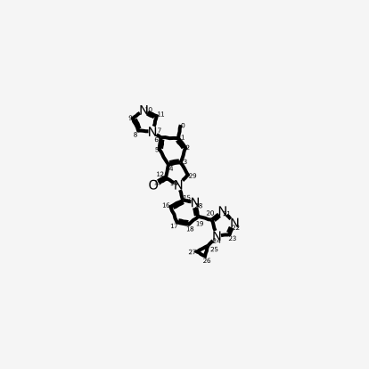 Cc1cc2c(cc1-n1ccnc1)C(=O)N(c1cccc(-c3nncn3C3CC3)n1)C2